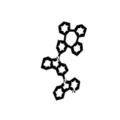 c1ccc2c(c1)-c1ccccc1-c1ccc(-n3c4ccccc4c4cc(-n5c6ccccc6c6ncccc65)ccc43)cc1-c1ccccc1-2